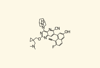 C#Cc1c(F)ccc2cc(O)cc(-c3cc4nc(OCC5(CN(C)C)CC5)nc(N5CC6CCC(C5)N6)c4nc3C#N)c12